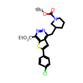 CCOC(=O)c1nnc(CC2CCCN(C(=O)OC(C)(C)C)C2)c2cc(-c3ccc(Cl)cc3)sc12